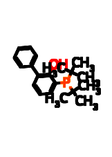 CC(C)(C)P(c1cccc(-c2ccccc2)c1O)C(C)(C)C